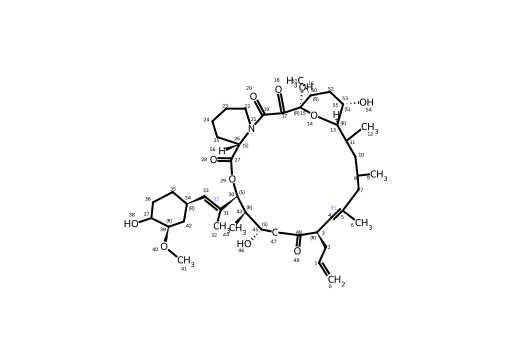 C=CC[C@@H]1/C=C(\C)CC(C)CC(C)[C@H]2O[C@@](O)(C(=O)C(=O)N3CCCC[C@H]3C(=O)O[C@H](/C(C)=C/[C@@H]3CCC(O)[C@H](OC)C3)[C@H](C)[C@@H](O)CC1=O)[C@H](C)C[C@@H]2O